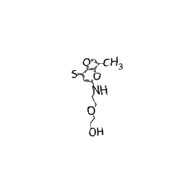 Cc1coc2c(=S)cc(NCCOCCO)oc12